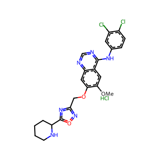 COc1cc2c(Nc3ccc(Cl)c(Cl)c3)ncnc2cc1OCc1noc(C2CCCCN2)n1.Cl